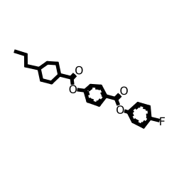 CCCC1CCC(C(=O)Oc2ccc(C(=O)Oc3ccc(F)cc3)cc2)CC1